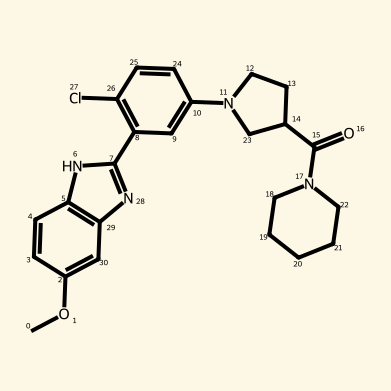 COc1ccc2[nH]c(-c3cc(N4CCC(C(=O)N5CCCCC5)C4)ccc3Cl)nc2c1